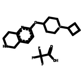 O=C(O)C(F)(F)F.c1cc2c(nc1OC1CCN(C3CCC3)CC1)CCNC2